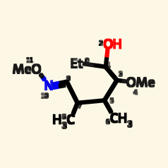 CCC(O)C(OC)C(C)C(C)C=NOC